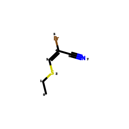 CCS/C=C(/Br)C#N